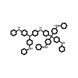 c1ccc(Nc2ccc(C(c3ccc(Nc4ccccc4)cc3)c3ccc(Nc4ccc(C(c5ccc(Nc6ccccc6)cc5)(c5ccc(Nc6ccccc6)cc5)c5ccc(Nc6ccccc6)cc5)cc4)cc3)cc2)cc1